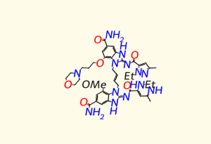 CCN/C(=C\C(C)=N)C(=O)/N=c1/[nH]c2cc(C(N)=O)cc(OC)c2n1C/C=C/Cn1/c(=N/C(=O)c2cc(C)nn2CC)[nH]c2cc(C(N)=O)cc(OCCCN3CCOCC3)c21